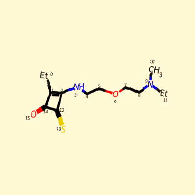 CCc1c(NCCOCCN(C)CC)c(=S)c1=O